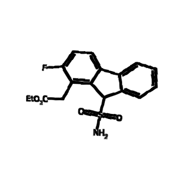 CCOC(=O)Cc1c(F)ccc2c1C(S(N)(=O)=O)c1ccccc1-2